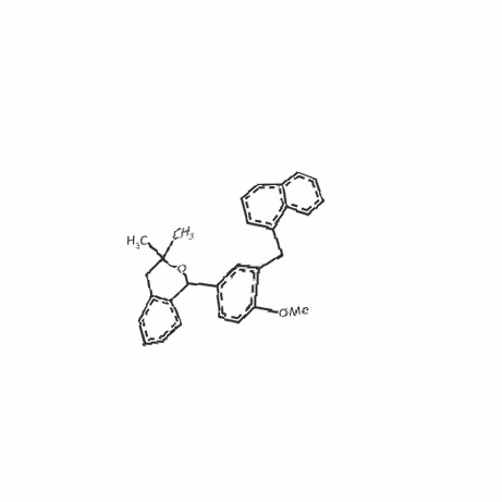 COc1ccc(C2OC(C)(C)Cc3ccccc32)cc1Cc1cccc2ccccc12